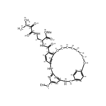 CCOc1nc2nc(n1)Nc1ccc(C(=O)N[C@@H](CNC(=O)C(=O)N(C)C)C(=O)OC)c(c1)OCCCCCCOc1ccc(cc1)CN2